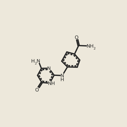 NC(=O)c1ccc(Nc2nc(N)cc(=O)[nH]2)cc1